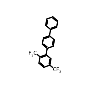 FC(F)(F)c1ccc(C(F)(F)F)c(-c2ccc(-c3ccccc3)cc2)c1